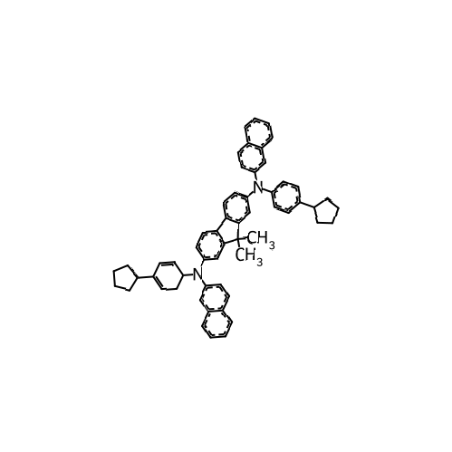 CC1(C)c2cc(N(c3ccc(C4CCCC4)cc3)c3ccc4ccccc4c3)ccc2-c2ccc(N(c3ccc4ccccc4c3)C3C=CC(C4CCCC4)=CC3)cc21